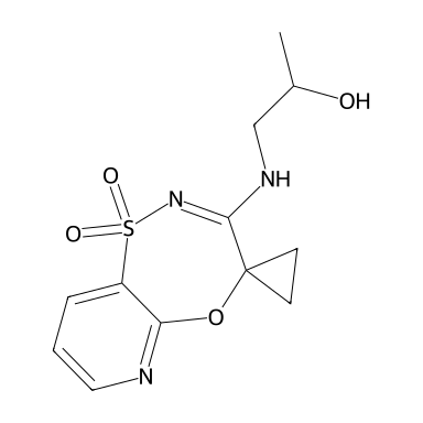 CC(O)CNC1=NS(=O)(=O)c2cccnc2OC12CC2